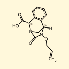 C=CCON1C(=O)N2C[C@@H]1c1ccccc1[C@@H]2C(=O)O